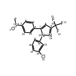 C[S+]([O-])c1ccc(-c2cc(C(F)(F)F)nn2-c2cccc(Cl)c2)cc1